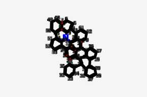 c1ccc(-c2ccccc2N(c2ccc(-c3cccc4c3c(-c3ccccc3)c(-c3ccccc3)c3ccccc34)cc2)c2c(-c3ccccc3)cccc2-c2ccccc2)cc1